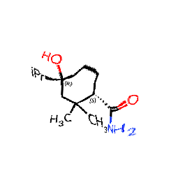 CC(C)[C@@]1(O)CC[C@H](C(N)=O)C(C)(C)C1